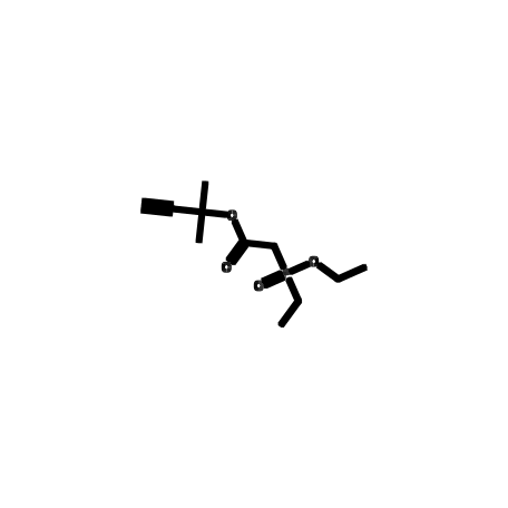 C#CC(C)(C)OC(=O)CP(=O)(CC)OCC